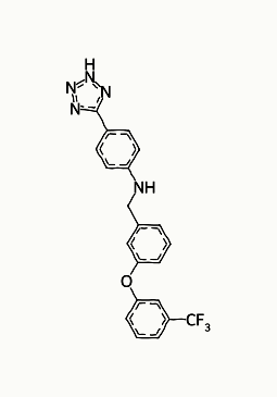 FC(F)(F)c1cccc(Oc2cccc(CNc3ccc(-c4nn[nH]n4)cc3)c2)c1